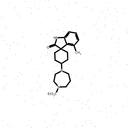 CCOC(=O)N1CCCN(C2CCC3(CC2)C(=O)Nc2cccc(C)c23)CC1